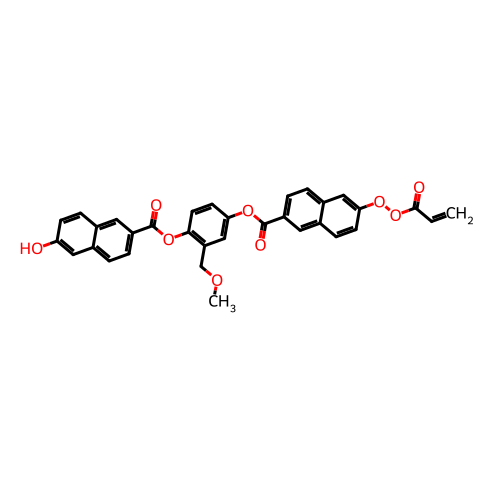 C=CC(=O)OOc1ccc2cc(C(=O)Oc3ccc(OC(=O)c4ccc5cc(O)ccc5c4)c(COC)c3)ccc2c1